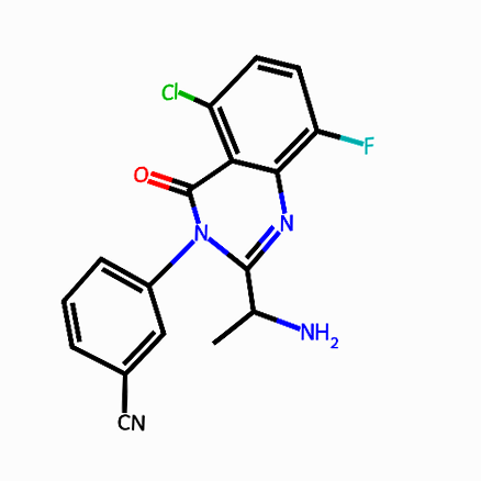 CC(N)c1nc2c(F)ccc(Cl)c2c(=O)n1-c1cccc(C#N)c1